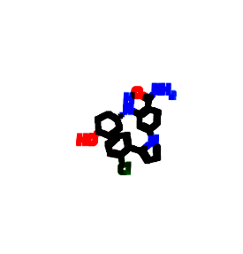 NC(=O)c1ccc(-n2cccc2-c2ccccc2Cl)cc1N[C@H]1CC[C@H](O)CC1